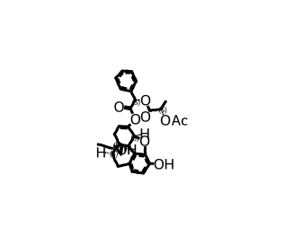 CC(=O)O[C@@H](C)C(=O)O[C@H](C(=O)OC1=CC[C@]2(O)[C@@H]3Cc4ccc(O)c5c4[C@]2(CCN3C)[C@@H]1O5)c1ccccc1